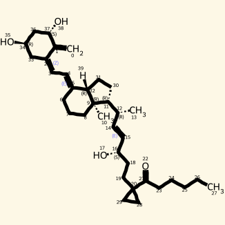 C=C1/C(=C\C=C2/CCC[C@]3(C)[C@@H]([C@H](C)/C=C/[C@@H](O)CCC4(C(=O)CCCCC)CC4)CC[C@@H]23)C[C@@H](O)C[C@@H]1O